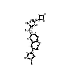 Cn1cc(-c2cnc3ccc(Nc4nnc(C5CCC5)s4)nc3c2)cn1